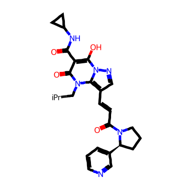 CC(C)Cn1c(=O)c(C(=O)NC2CC2)c(O)n2ncc(/C=C/C(=O)N3CCC[C@H]3c3cccnc3)c12